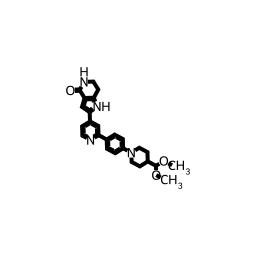 COC(OC)C1CCN(c2ccc(-c3cc(-c4cc5c([nH]4)CCNC5=O)ccn3)cc2)CC1